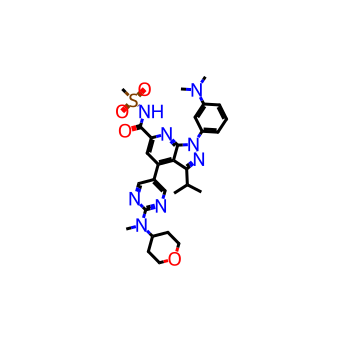 CC(C)c1nn(-c2cccc(N(C)C)c2)c2nc(C(=O)NS(C)(=O)=O)cc(-c3cnc(N(C)C4CCOCC4)nc3)c12